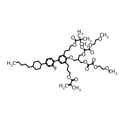 C=C(C)C(=O)OCCCc1cc(-c2ccc(C3CCC(CCCCC)CC3)cc2F)cc(CCCOC(=O)C(C)(C)C)c1OCC(COC(=O)C(=O)OCCOC)COC(=O)C(=O)OCCOC